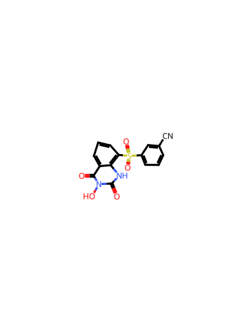 N#Cc1cccc(S(=O)(=O)c2cccc3c(=O)n(O)c(=O)[nH]c23)c1